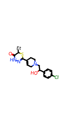 CCC1SC(C2=CCN(CC(O)c3ccc(Cl)cc3)CC2)=NNC1=O